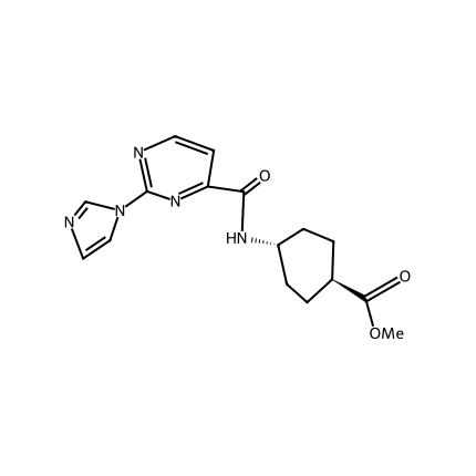 COC(=O)[C@H]1CC[C@H](NC(=O)c2ccnc(-n3ccnc3)n2)CC1